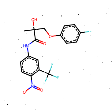 CC(O)(COc1ccc(F)cc1)C(=O)Nc1ccc([N+](=O)[O-])c(C(F)(F)F)c1